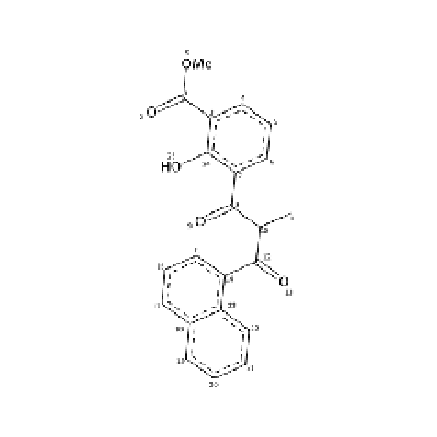 COC(=O)c1cccc(C(=O)C(C)C(=O)c2cccc3ccccc23)c1O